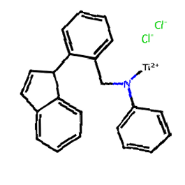 [Cl-].[Cl-].[Ti+2][N](Cc1ccccc1C1C=Cc2ccccc21)c1ccccc1